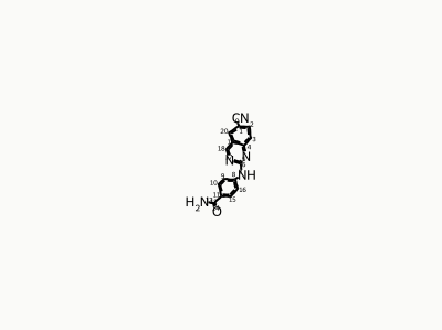 N#Cc1ccc2nc(Nc3ccc(C(N)=O)cc3)ncc2c1